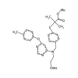 COCCN(Cc1ccc(SC(C)(C)C(=O)OC(C)(C)C)cc1)c1cc(Oc2ccc(C)cc2)ncn1